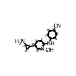 Cl.N#Cc1ccc(Nc2ccc(C3CC3N)cn2)cc1